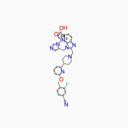 CCn1cncc1Cn1c(CN2CCC(c3cccc(OCc4ccc(C#N)cc4F)n3)CC2)nc2ccc(C(=O)O)nc21